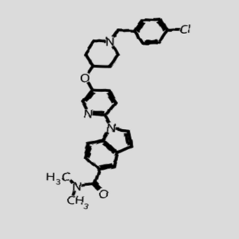 CN(C)C(=O)c1ccc2c(ccn2-c2ccc(OC3CCN(Cc4ccc(Cl)cc4)CC3)cn2)c1